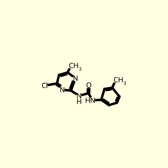 Cc1cccc(NC(=O)Nc2nc(C)cc(Cl)n2)c1